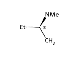 [CH2-][NH2+][C@@H](C)CC